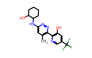 Cc1cc(NC2CCCCC2O)nnc1-c1ncc(C(F)(F)F)cc1O